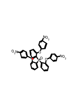 O=[N+]([O-])c1ccc(Oc2ccccc2P(=O)(c2ccccc2Oc2ccc([N+](=O)[O-])cc2)c2ccccc2Oc2ccc([N+](=O)[O-])cc2)cc1